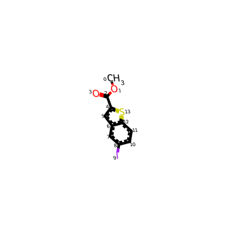 COC(=O)c1cc2cc(I)ccc2s1